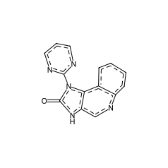 O=c1[nH]c2cnc3ccccc3c2n1-c1ncccn1